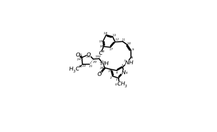 Cc1cc2cc(n1)NCC=CCc1cccc(c1)C[C@@H]([C@@H]1C[C@@H](C)C(=O)O1)NC2=O